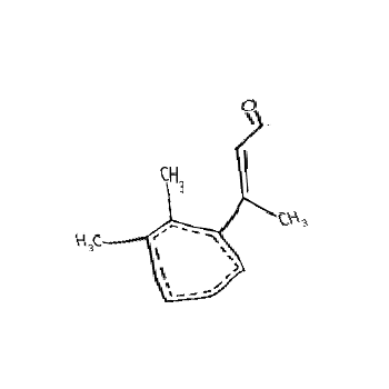 CC(=C[C]=O)c1cccc(C)c1C